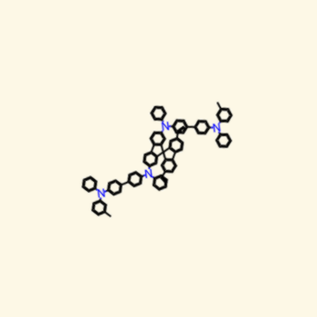 C=Cc1ccc2c(c1)C1(c3cc(C=C)ccc3-2)c2cc(N(c3ccccc3)c3ccc(-c4ccc(N(c5ccccc5)c5cccc(C)c5)cc4)cc3)ccc2-c2ccc(N(c3ccccc3)c3ccc(-c4ccc(N(c5ccccc5)c5cccc(C)c5)cc4)cc3)cc21